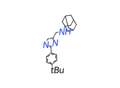 CC(C)(C)c1ccc(C2=NCC(CNC34CC5CC(CC(C5)C3)C4)=N2)cc1